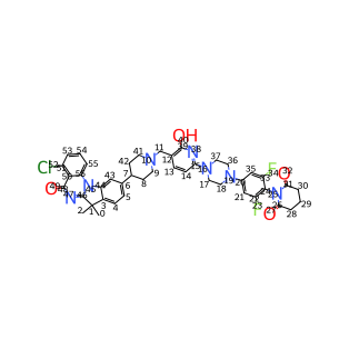 CC1(C)c2ccc(C3CCN(Cc4ccc(N5CCN(c6cc(F)c(N7C(=O)CCCC7=O)c(F)c6)CC5)nc4O)CC3)cc2-n2c1nc(=O)c1c(Cl)cccc12